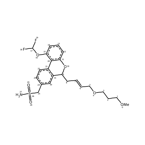 COCCCOCC=CCC1Oc2cccc(OC(F)F)c2-c2ccc(CS(N)(=O)=O)cc21